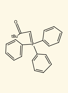 CC(C)(C)C(=O)C=P(c1ccccc1)(c1ccccc1)c1ccccc1